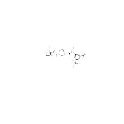 O=C(C[C@H]1CC[C@H](NC(=O)[C@H]2CCCN2)CC1)Nc1cc(C(F)(F)F)cc(C(F)(F)F)c1